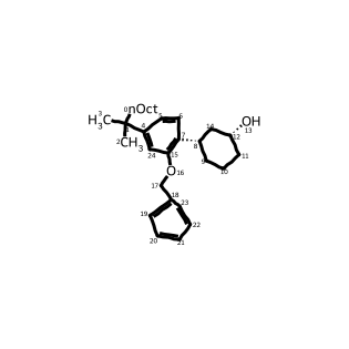 CCCCCCCCC(C)(C)c1ccc([C@H]2CCC[C@@H](O)C2)c(OCc2ccccc2)c1